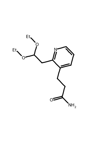 CCOC(Cc1ncccc1CCC(N)=O)OCC